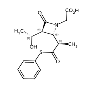 C[C@@H](O)[C@H]1C(=O)N(CC(=O)O)[C@@H]1[C@@H](C)C(=O)Sc1ccccc1